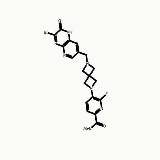 CCc1nc2ncc(CN3CC4(C3)CN(c3ccc(C(=O)NC)nc3F)C4)cc2[nH]c1=O